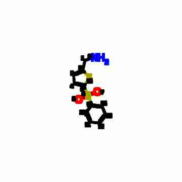 NCc1ccc(S(=O)(=O)c2[c]cccc2)s1